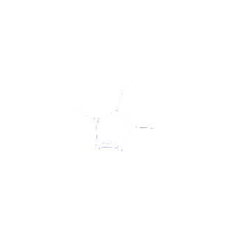 Cn1nnc(F)c1C(F)(F)F